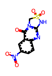 O=c1c2cc([N+](=O)[O-])ccc2nc2n1CS(=O)(=O)N2